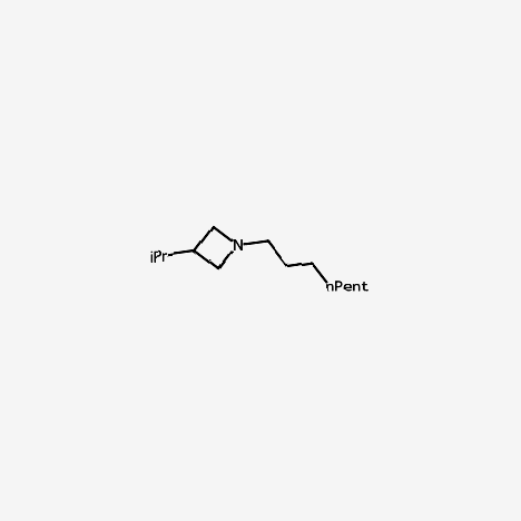 CCCCCCCCN1CC(C(C)C)C1